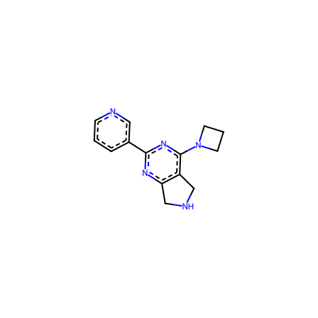 c1cncc(-c2nc3c(c(N4CCC4)n2)CNC3)c1